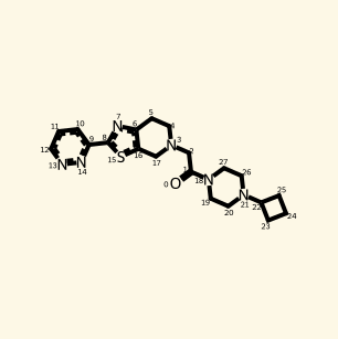 O=C(CN1CCc2nc(-c3cccnn3)sc2C1)N1CCN(C2CCC2)CC1